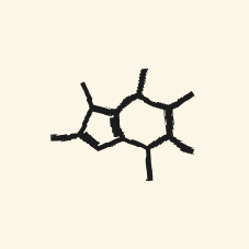 CC1=CC2=C(C1C)C(C)C(C)C(C)C2C